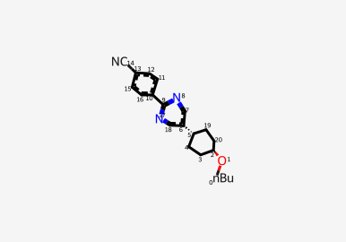 CCCCO[C@H]1CC[C@H](c2cnc(-c3ccc(C#N)cc3)nc2)CC1